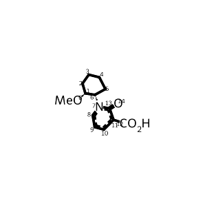 CO[C@@H]1CCCC[C@@H]1n1cccc(C(=O)O)c1=O